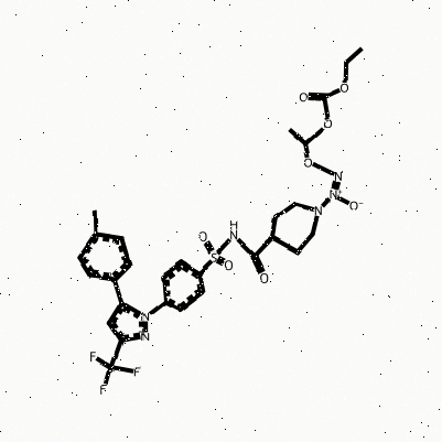 CCOC(=O)OC(C)O/N=[N+](/[O-])N1CCC(C(=O)NS(=O)(=O)c2ccc(-n3nc(C(F)(F)F)cc3-c3ccc(C)cc3)cc2)CC1